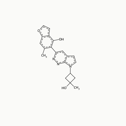 Cc1cc2occc2c(O)c1-c1cc2ccn(C3CC(C)(O)C3)c2nn1